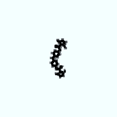 Cn1cc[n+](C)c1/C([O-])=N/c1ccc(Cc2ccc(/N=C(\[O-])c3n(C)cc[n+]3C)cc2)cc1